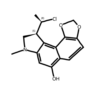 C[C@@H](Cl)[C@@H]1CN(C)c2cc(O)c3ccc4c(c3c21)OCO4